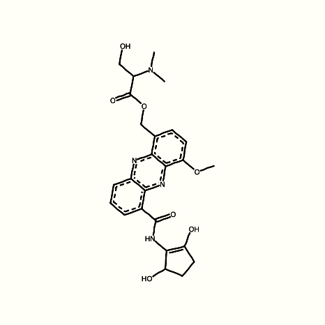 COc1ccc(COC(=O)C(CO)N(C)C)c2nc3cccc(C(=O)NC4=C(O)CCC4O)c3nc12